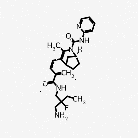 C=C(/C=C\C1=C(C)N(C(=O)Nc2ccccn2)[C@H]2CCC1C2)C(=O)NCC(F)(CC)CN